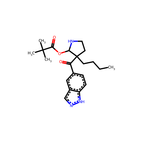 CCCCC1(C(=O)c2ccc3[nH]ncc3c2)CCNC1OC(=O)C(C)(C)C